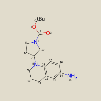 CC(C)(C)OC(=O)N1CCC(N2CCCc3cc(N)ccc32)C1